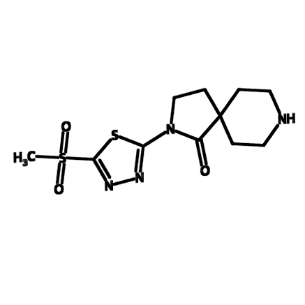 CS(=O)(=O)c1nnc(N2CCC3(CCNCC3)C2=O)s1